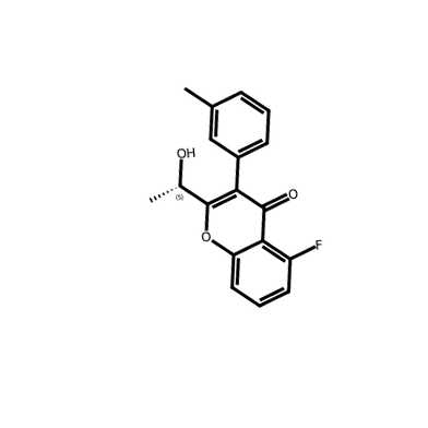 Cc1cccc(-c2c([C@H](C)O)oc3cccc(F)c3c2=O)c1